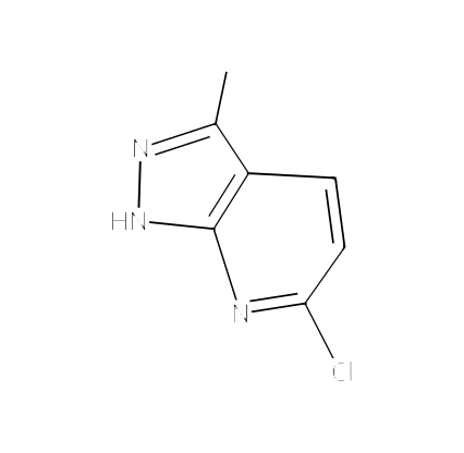 Cc1n[nH]c2nc(Cl)ccc12